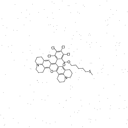 CSCCCCCOC(=O)c1c(Cl)c(Cl)c(Cl)c(Cl)c1C1=c2cc3c4c(c2Oc2c1cc1c5c2CCCN5CCC1)CCC[N+]=4CCC3